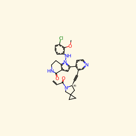 C=CC(=O)N1CC2(CC2)C[C@@H]1C#Cc1cnccc1-c1cc2c(n1Nc1cccc(Cl)c1OC)CCNC2=O